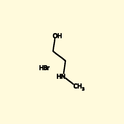 Br.CNCCO